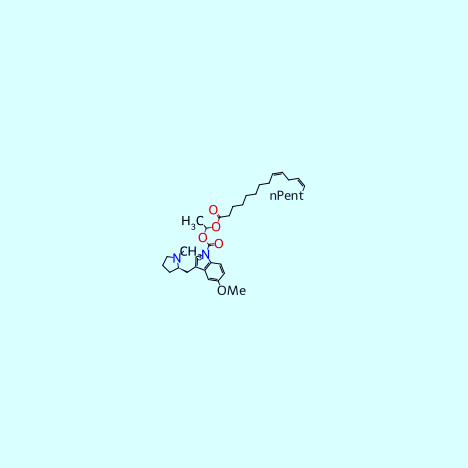 CCCCC/C=C\C/C=C\CCCCCCCC(=O)OC(C)OC(=O)n1cc(C[C@H]2CCCN2C)c2cc(OC)ccc21